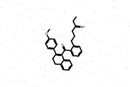 CCC(=N)CCCc1ccccc1C(=O)C1=C(c2ccc(OC)cc2)CCc2ccccc21